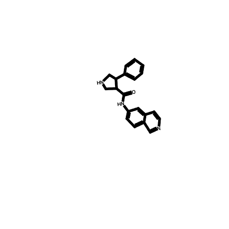 O=C(Nc1ccc2cnccc2c1)C1CNCC1c1ccccc1